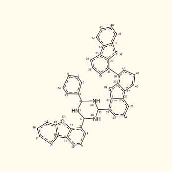 c1ccc(C2NC(c3cccc4c3oc3ccccc34)NC(c3cccc4c3sc3c(-c5cccc6c5sc5ccccc56)cccc34)N2)cc1